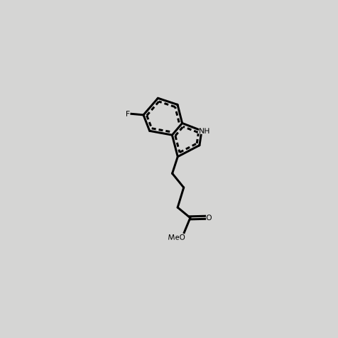 COC(=O)CCCc1c[nH]c2ccc(F)cc12